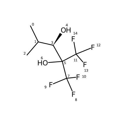 CC(C)[C@@H](O)C(O)(C(F)(F)F)C(F)(F)F